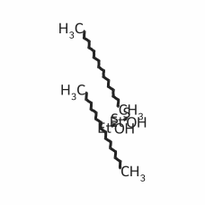 CCC(O)=S.CCC(O)=S.CCCCCCCCCCCCCCCCCC.CCCCCCCCCCCCCCCCCC